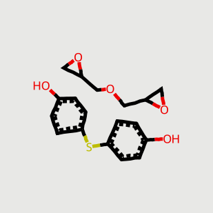 C(OCC1CO1)C1CO1.Oc1ccc(Sc2ccc(O)cc2)cc1